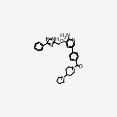 Nc1ncc(-c2ccc(C(=O)N3CCC(N4CCCC4)CC3)cc2)cc1OCc1nc(-c2ccccc2)n[nH]1